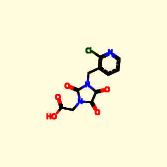 O=C(O)CN1C(=O)C(=O)N(Cc2cccnc2Cl)C1=O